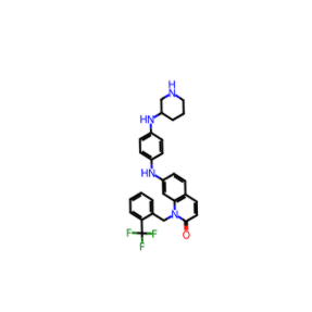 O=c1ccc2ccc(Nc3ccc(NC4CCCNC4)cc3)cc2n1Cc1ccccc1C(F)(F)F